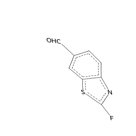 O=Cc1ccc2nc(F)sc2c1